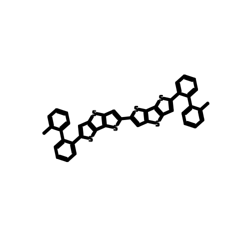 Cc1ccccc1-c1ccccc1-c1cc2sc3cc(-c4cc5sc6cc(-c7ccccc7-c7ccccc7C)sc6c5s4)sc3c2s1